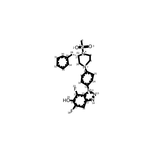 CS(=O)(=O)N1CCN(c2ccc(-n3nnc4cc(F)c(O)c(F)c43)cc2)C[C@@H]1Cc1ccccc1